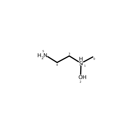 C[SiH](O)CCN